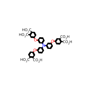 O=C(O)c1ccc(Oc2cccc(N(c3cccc(Oc4ccc(C(=O)O)c(C(=O)O)c4)c3)c3cccc(Oc4ccc(C(=O)O)c(C(=O)O)c4)c3)c2)cc1C(=O)O